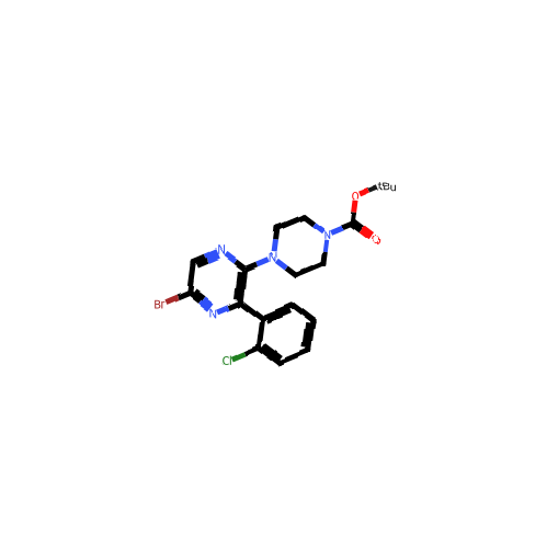 CC(C)(C)OC(=O)N1CCN(c2ncc(Br)nc2-c2ccccc2Cl)CC1